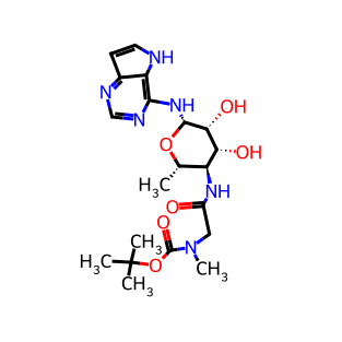 C[C@@H]1O[C@H](Nc2ncnc3cc[nH]c23)[C@H](O)[C@H](O)[C@H]1NC(=O)CN(C)C(=O)OC(C)(C)C